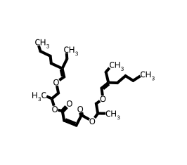 CCCCC(=COCC(C)OC(=O)/C=C\C(=O)OC(C)COC=C(CC)CCCC)CC